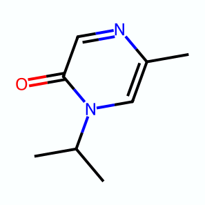 Cc1cn(C(C)C)c(=O)cn1